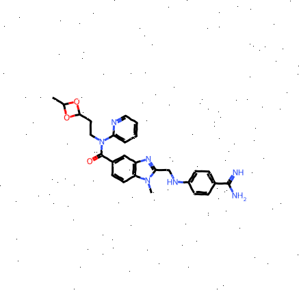 CC1OC(CCN(C(=O)c2ccc3c(c2)nc(CNc2ccc(C(=N)N)cc2)n3C)c2ccccn2)O1